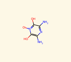 Nc1nc(N)c(O)[n+]([O-])c1O